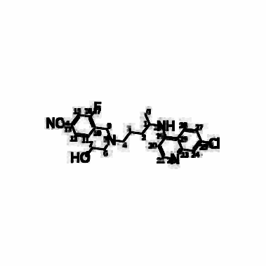 CC(CCCN(CCO)Cc1ccc(C#N)cc1F)Nc1ccnc2cc(Cl)ccc12